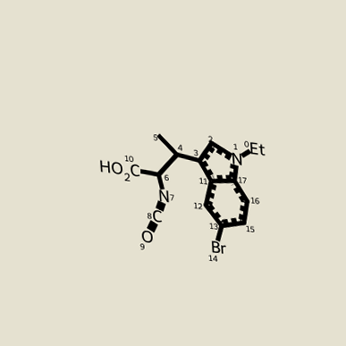 CCn1cc(C(C)C(N=C=O)C(=O)O)c2cc(Br)ccc21